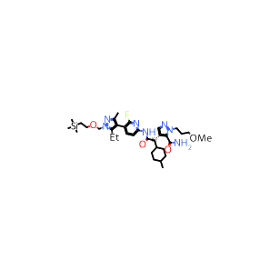 CCc1c(-c2ccc(NC(=O)[C@H](c3cnn(CCCOC)c3C(N)=O)C3CCC(C)CC3)nc2F)c(C)nn1COCC[Si](C)(C)C